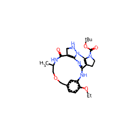 CCOc1ccc2cc1NC1=NC3=C(CNN3C3=C1CCN3C(=O)OC(C)(C)C)C(=O)NC(C)COC2